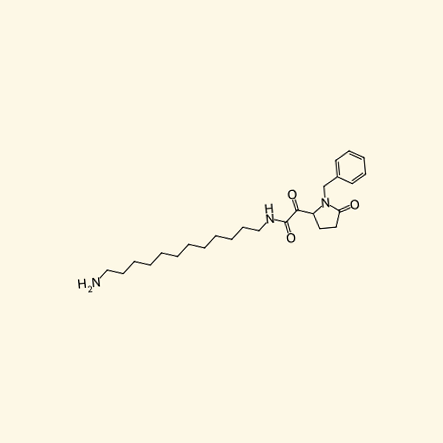 NCCCCCCCCCCCCNC(=O)C(=O)C1CCC(=O)N1Cc1ccccc1